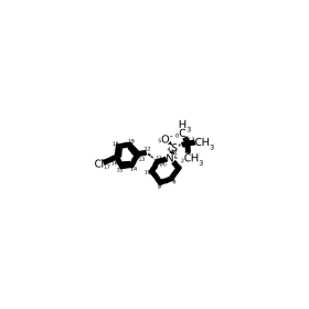 CC(C)(C)[S@+]([O-])N1CCCC[C@@H]1Cc1ccc(Cl)cc1